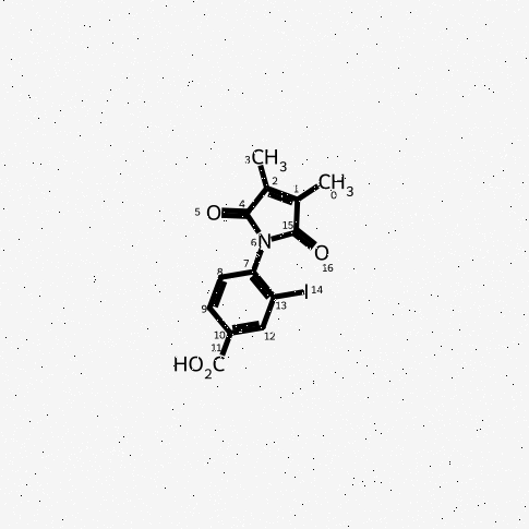 CC1=C(C)C(=O)N(c2ccc(C(=O)O)cc2I)C1=O